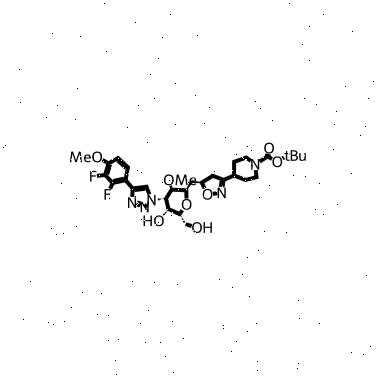 COc1ccc(-c2cn([C@H]3[C@@H](O)[C@@H](CO)O[C@H](C[C@H]4CC(C5CCN(C(=O)OC(C)(C)C)CC5)=NO4)[C@@H]3OC)nn2)c(F)c1F